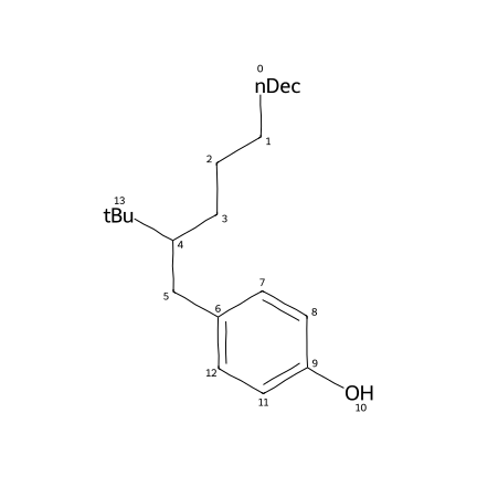 CCCCCCCCCCCCCC(Cc1ccc(O)cc1)C(C)(C)C